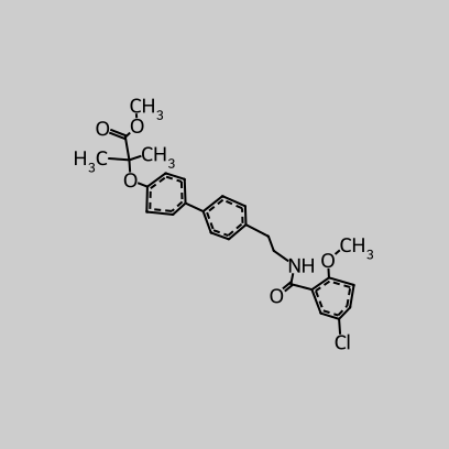 COC(=O)C(C)(C)Oc1ccc(-c2ccc(CCNC(=O)c3cc(Cl)ccc3OC)cc2)cc1